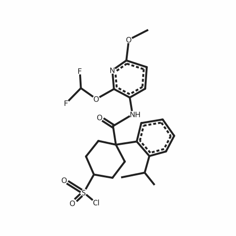 COc1ccc(NC(=O)C2(c3ccccc3C(C)C)CCC(S(=O)(=O)Cl)CC2)c(OC(F)F)n1